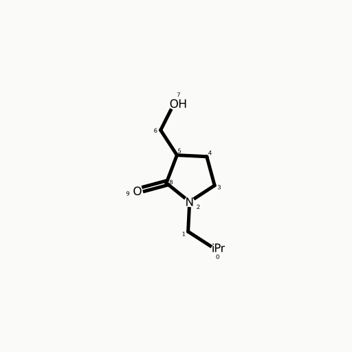 CC(C)CN1CCC(CO)C1=O